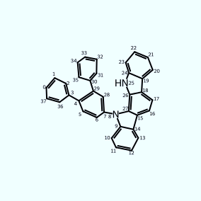 c1ccc(-c2ccc(-n3c4ccccc4c4ccc5c6ccccc6[nH]c5c43)cc2-c2ccccc2)cc1